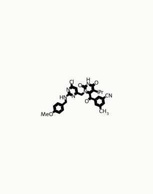 COc1ccc(CNc2nc(Cl)cc(Cn3c(C(=O)c4cc(C)cc(C#N)c4)c(C(C)C)c(=O)[nH]c3=O)n2)cc1